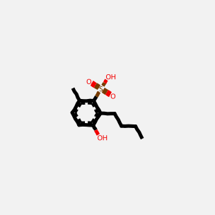 CCCCc1c(O)ccc(C)c1S(=O)(=O)O